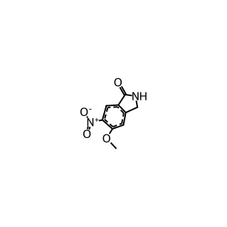 COc1cc2c(cc1[N+](=O)[O-])C(=O)NC2